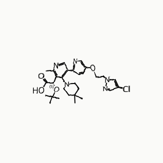 Cc1ncc(-c2ccc(OCCn3cc(Cl)cn3)cn2)c(N2CCC(C)(C)CC2)c1[C@H](OC(C)(C)C)C(=O)O